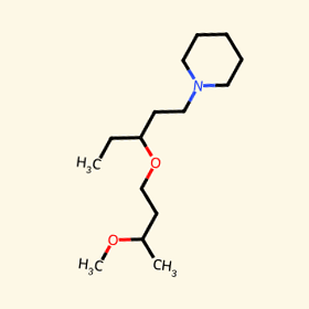 CCC(CCN1CCCCC1)OCCC(C)OC